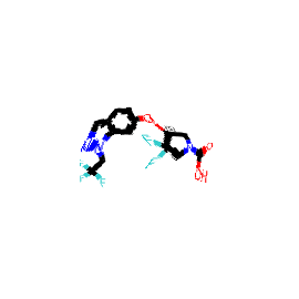 O=C(O)N1C[C@H](Oc2ccc3cnn(CC(F)(F)F)c3c2)C(F)(F)C1